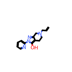 C=CCN1CCc2c(nn(-c3ccccn3)c2O)C1